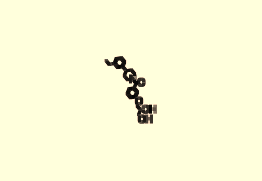 CCc1cccc(C2CCN(C(=O)c3cccc(OCC(O)CO)c3)CC2)c1